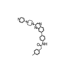 Cc1ccc(CC(=O)Nc2ccc(-c3ccc4ncc(N5CCN(c6ccncc6)CC5)nc4c3)cc2)cc1